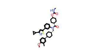 CNC(=O)O[C@H]1CC[C@H](C(=O)N(C[C@H]2CC[C@H](c3ccc(OC)c(C)c3)CC2)c2cccc(-c3cc(C4CC4)ns3)c2)CC1